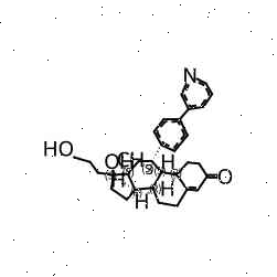 C[C@]12C[C@H](c3ccc(-c4cccnc4)cc3)[C@H]3[C@@H](CCC4=CC(=O)CC[C@@H]43)[C@H]1CC[C@]2(O)CCCO